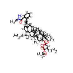 C=C(CC(=O)O[C@H]1CC[C@@]2(C)C(CC[C@]3(C)C2CCC2C4[C@H](C(=C)C)CC[C@]4(C#Cc4ccccc4C(=O)NC)CC[C@]23C)C1(C)C)C(=O)OC